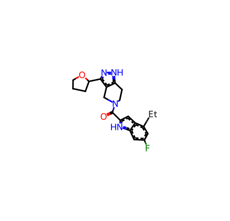 CCc1cc(F)cc2[nH]c(C(=O)N3CCc4[nH]nc(C5CCCO5)c4C3)cc12